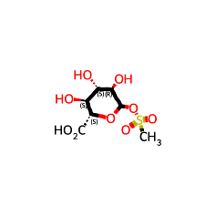 CS(=O)(=O)OC1O[C@H](C(=O)O)[C@@H](O)[C@H](O)[C@H]1O